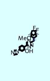 CO[C@@H]1/C(=C\c2ncc(-c3ccc(-n4ccnc4)cc3O)nn2)C[C@@]2(C)C[C@]1(C)CC2(F)F